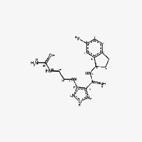 N=C(NC1CCc2ccc(F)cc21)c1nonc1NCCNC(N)=O